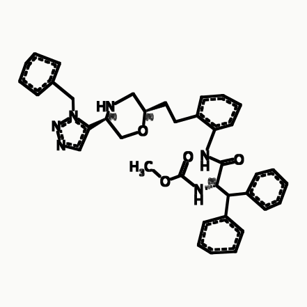 COC(=O)N[C@H](C(=O)Nc1ccccc1CC[C@@H]1CN[C@H](c2cnnn2Cc2ccccc2)CO1)C(c1ccccc1)c1ccccc1